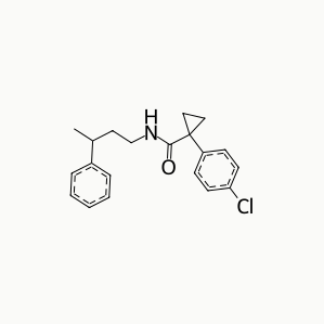 CC(CCNC(=O)C1(c2ccc(Cl)cc2)CC1)c1ccccc1